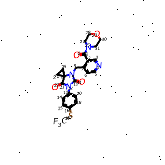 O=C(c1cnccc1CN1C(=O)N(c2ccc(SC(F)(F)F)cc2)C(=O)C12CC2)N1CCOCC1